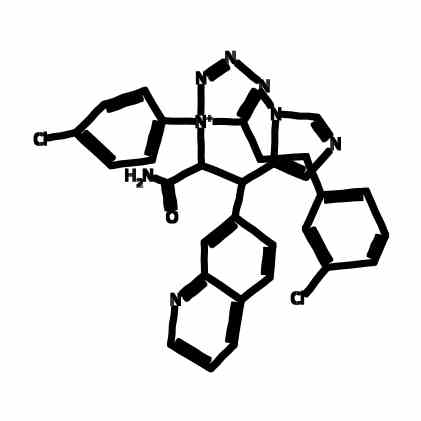 Cn1cncc1C(c1ccc2cccnc2c1)C(C(N)=O)[N+]1(c2ccc(Cl)cc2)N=NN=C1CCc1cccc(Cl)c1